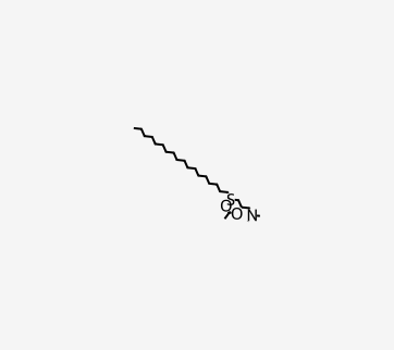 CCCCCCCCCCCCCCCCCCSCC(CN(C)C)OC(C)=O